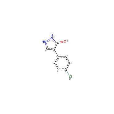 O=c1[nH][nH]cc1-c1ccc(Cl)cc1